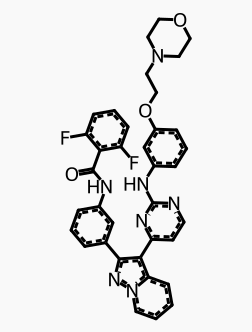 O=C(Nc1cccc(-c2nn3ccccc3c2-c2ccnc(Nc3cccc(OCCN4CCOCC4)c3)n2)c1)c1c(F)cccc1F